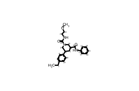 CCc1ccc(C2CC(C(=O)Nc3ccccc3)CN(C(=O)NCCOC)C2)cc1